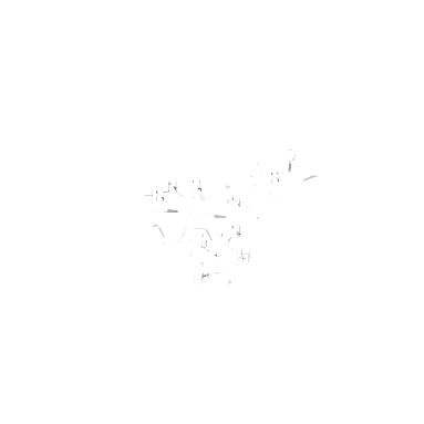 C=CC(=O)N1CC2(CCN(c3nc4c(c(-c5c(C)ccc6[nH]ncc56)c3C#N)C[C@H]3C[C@@H]4C3(C)C)C2C)C1